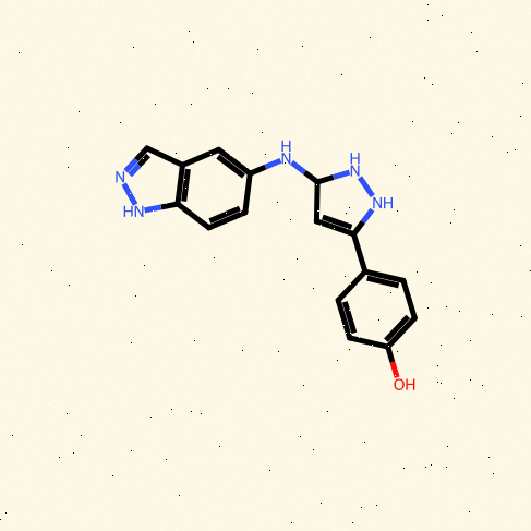 Oc1ccc(C2=CC(Nc3ccc4[nH]ncc4c3)NN2)cc1